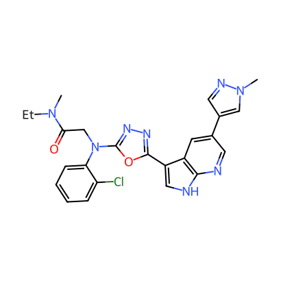 CCN(C)C(=O)CN(c1nnc(-c2c[nH]c3ncc(-c4cnn(C)c4)cc23)o1)c1ccccc1Cl